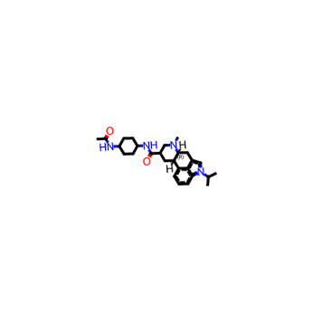 CC(=O)NC1CCC(NC(=O)C2C[C@@H]3c4cccc5c4c(cn5C(C)C)C[C@H]3N(C)C2)CC1